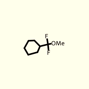 COC(F)(F)C1CCCCC1